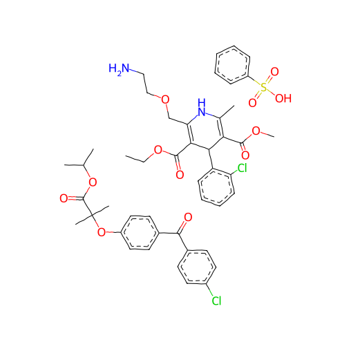 CC(C)OC(=O)C(C)(C)Oc1ccc(C(=O)c2ccc(Cl)cc2)cc1.CCOC(=O)C1=C(COCCN)NC(C)=C(C(=O)OC)C1c1ccccc1Cl.O=S(=O)(O)c1ccccc1